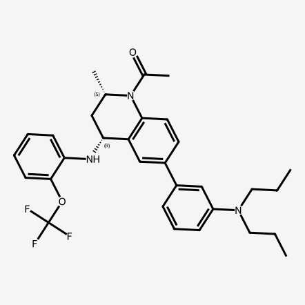 CCCN(CCC)c1cccc(-c2ccc3c(c2)[C@H](Nc2ccccc2OC(F)(F)F)C[C@H](C)N3C(C)=O)c1